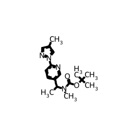 Cc1cnn(-c2ccc(C(C)N(C)C(=O)OC(C)(C)C)cn2)c1